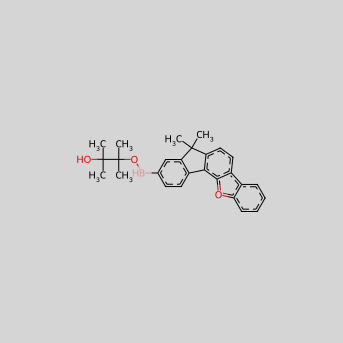 CC1(C)c2cc(BOC(C)(C)C(C)(C)O)ccc2-c2c1ccc1c2oc2ccccc21